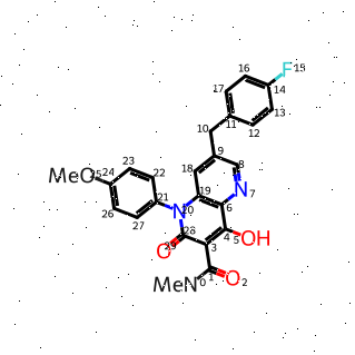 CNC(=O)c1c(O)c2ncc(Cc3ccc(F)cc3)cc2n(-c2ccc(OC)cc2)c1=O